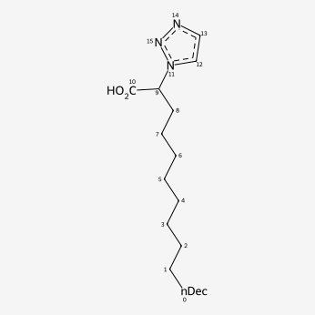 CCCCCCCCCCCCCCCCCCC(C(=O)O)n1ccnn1